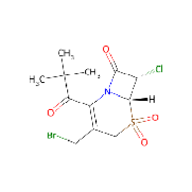 CC(C)(C)C(=O)C1=C(CBr)CS(=O)(=O)[C@H]2[C@@H](Cl)C(=O)N12